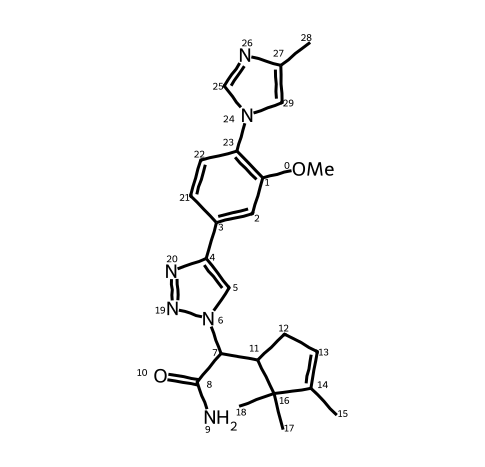 COc1cc(-c2cn(C(C(N)=O)C3CC=C(C)C3(C)C)nn2)ccc1-n1cnc(C)c1